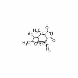 CC(=O)c1c(C)oc(C)c1/C(C)=C1/C(=O)OC(=O)C1=C(C)C